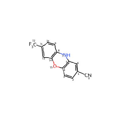 N#Cc1ccc2c(c1)Nc1ccc(C(F)(F)F)cc1O2